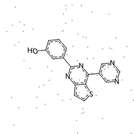 Oc1cccc(-c2nc(-c3cncnc3)c3sccc3n2)c1